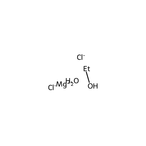 CCO.O.[Cl-].[Cl-].[Mg+2]